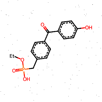 CCOP(=O)(O)Cc1ccc(C(=O)c2ccc(O)cc2)cc1